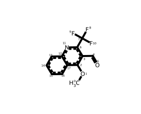 COc1c(C=O)c(C(F)(F)F)nc2ccccc12